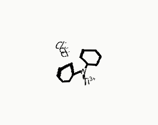 [Cl-].[Cl-].[Cl-].[Ti+3][N](C1CCCCC1)C1CCCCC1